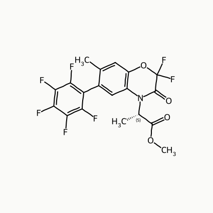 COC(=O)[C@H](C)N1C(=O)C(F)(F)Oc2cc(C)c(-c3c(F)c(F)c(F)c(F)c3F)cc21